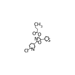 CCCC(=O)Oc1nc(-c2ccc(Cl)nc2)oc1-c1ccsc1